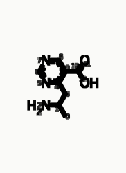 CC(N)Cc1ncncc1C(=O)O